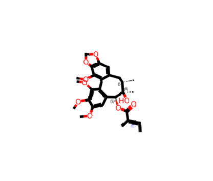 C/C=C(\C)C(=O)O[C@H]1c2cc(OC)c(OC)c(OC)c2-c2c(cc3c(c2OC)OCO3)C[C@H](C)[C@@]1(C)O